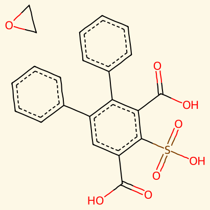 C1CO1.O=C(O)c1cc(-c2ccccc2)c(-c2ccccc2)c(C(=O)O)c1S(=O)(=O)O